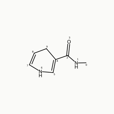 CNC(=O)C1=CNC=CC1